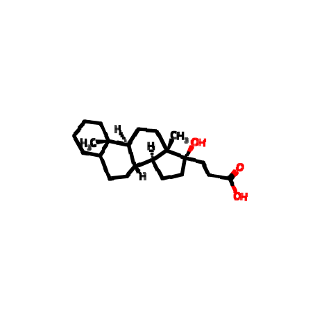 C[C@]12CCCCC1CC[C@@H]1[C@@H]2CC[C@@]2(C)[C@H]1CC[C@@]2(O)CCC(=O)O